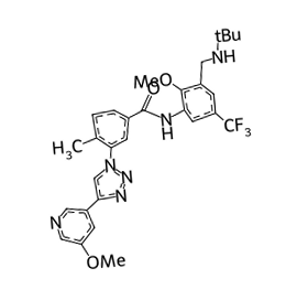 COc1cncc(-c2cn(-c3cc(C(=O)Nc4cc(C(F)(F)F)cc(CNC(C)(C)C)c4OC)ccc3C)nn2)c1